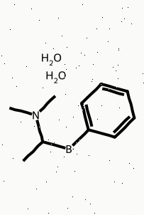 CC([B]c1ccccc1)N(C)C.O.O